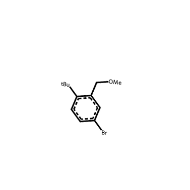 COCc1cc(Br)ccc1C(C)(C)C